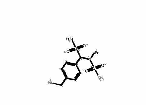 CC(C)N(C(c1ccc(C[NH])cc1)S(N)(=O)=O)S(C)(=O)=O